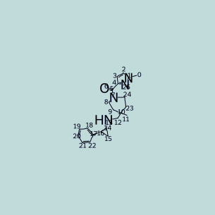 Cn1ccc(C(=O)N2CCC(C)(CN[C@@H]3C[C@H]3c3ccccc3)CC2)n1